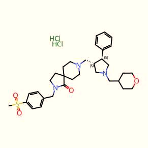 CS(=O)(=O)c1ccc(CN2CCC3(CCN(C[C@H]4CN(CC5CCOCC5)C[C@@H]4c4ccccc4)CC3)C2=O)cc1.Cl.Cl